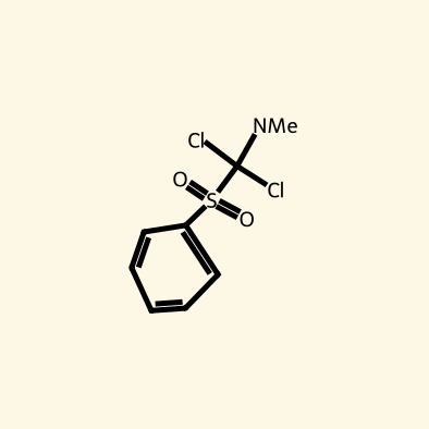 CNC(Cl)(Cl)S(=O)(=O)c1ccccc1